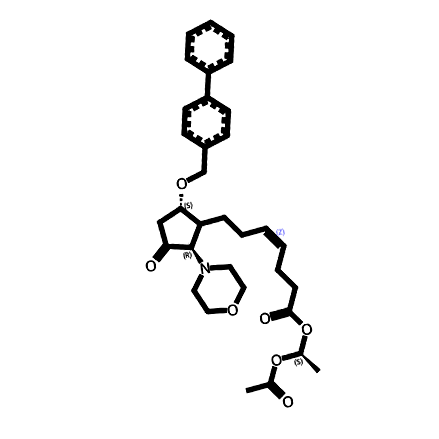 CC(=O)O[C@H](C)OC(=O)CC/C=C\CCC1[C@@H](OCc2ccc(-c3ccccc3)cc2)CC(=O)[C@@H]1N1CCOCC1